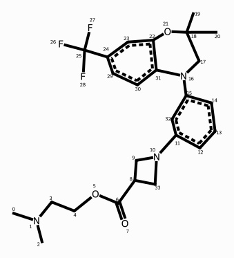 CN(C)CCOC(=O)C1CN(c2cccc(N3CC(C)(C)Oc4cc(C(F)(F)F)ccc43)c2)C1